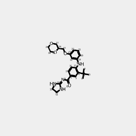 CC(C)(C)c1cc(C(=O)N=C2NCCN2)ccc1Nc1cccc(OCC2COCCO2)c1